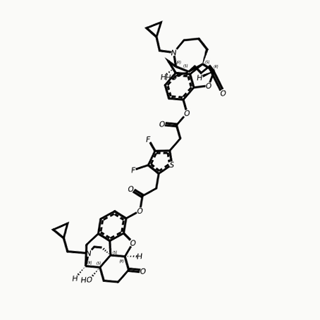 O=C(Cc1sc(CC(=O)Oc2ccc3c4c2O[C@H]2C(=O)CC[C@@]5(O)[C@@H](C3)N(CC3CC3)CC[C@]425)c(F)c1F)Oc1ccc2c3c1O[C@H]1C(=O)CC[C@@]4(O)[C@@H](C2)N(CC2CC2)CCC[C@]314